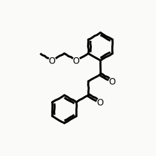 COCOc1ccccc1C(=O)CC(=O)c1ccccc1